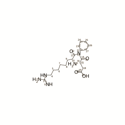 N=C(N)NCCCCCCCC(=O)N(C(=O)[C@@H](N)CC(=O)O)c1ccccc1